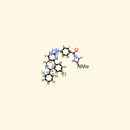 CNC1CN(C(=O)c2ccc(Nc3ncc4c(n3)-c3ccc(Cl)cc3C(c3c(F)cccc3F)=NC4)cc2)C1